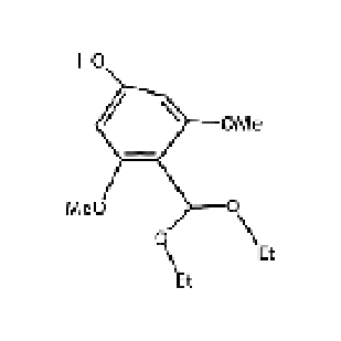 CCOC(OCC)c1c(OC)cc(O)cc1OC